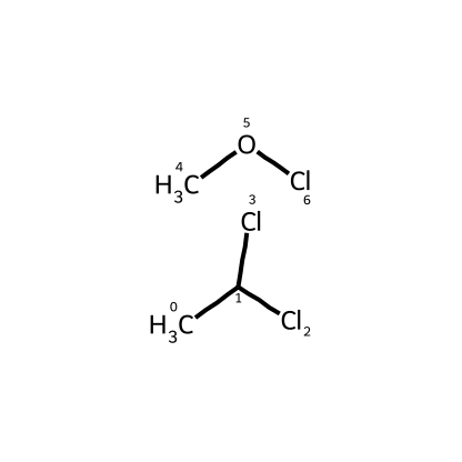 CC(Cl)Cl.COCl